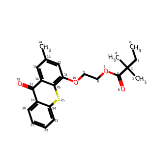 CCC(C)(C)C(=O)OCCOc1cc(C)cc2c(=O)c3ccccc3sc12